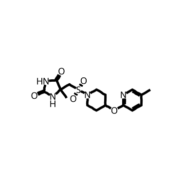 Cc1ccc(OC2CCN(S(=O)(=O)CC3(C)NC(=O)NC3=O)CC2)nc1